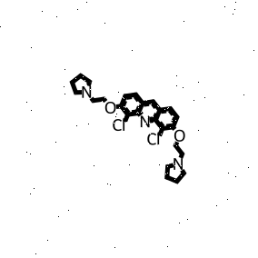 Clc1c(OCCN2CCCC2)ccc2cc3ccc(OCCN4CCCC4)c(Cl)c3nc12